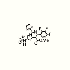 COC(=O)C1=C2C[C@H](NS(C)(=O)=O)CN2C(c2nccs2)=N[C@H]1c1ccc(F)c(F)c1F